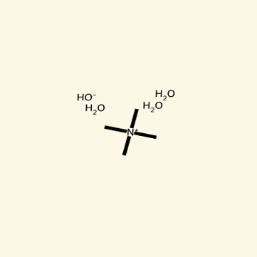 C[N+](C)(C)C.O.O.O.[OH-]